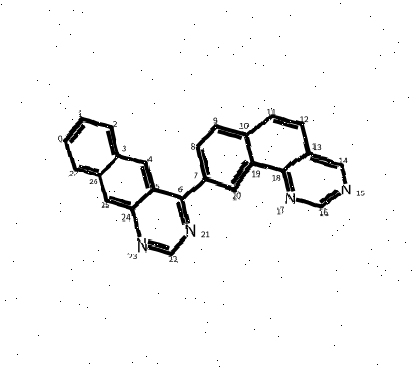 c1ccc2cc3c(-c4ccc5ccc6cncnc6c5c4)ncnc3cc2c1